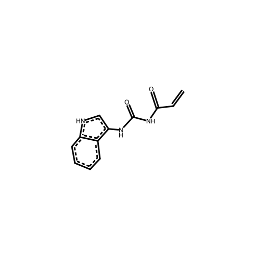 C=CC(=O)NC(=O)Nc1c[nH]c2ccccc12